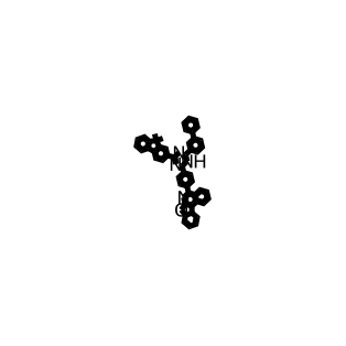 CC1(C)c2ccccc2-c2ccc(C3=NC(c4ccc(-c5nc6c(c7ccccc57)C5C=CC=CC5O6)cc4)NC(c4cccc(-c5ccccc5)c4)=N3)cc21